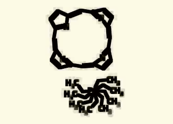 C1=CC2=NC1=CC1=NC(=CC3=NC(=CC4=NC(=C2)C=C4)C=C3)C=C1.C[CH2][Pt]([CH2]C)([CH2]C)([CH2]C)([CH2]C)([CH2]C)([CH2]C)[CH2]C